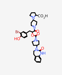 O=C(O)C1CCCN1C1CCN(C(=O)C(Cc2ccc(O)c(Br)c2)OC(=O)N2CCC(N3CCc4ccccc4NC3=O)CC2)CC1